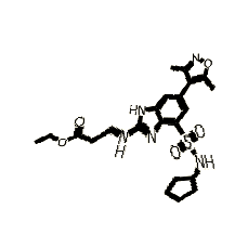 CCOC(=O)CCNc1nc2c(S(=O)(=O)NC3CCCC3)cc(-c3c(C)noc3C)cc2[nH]1